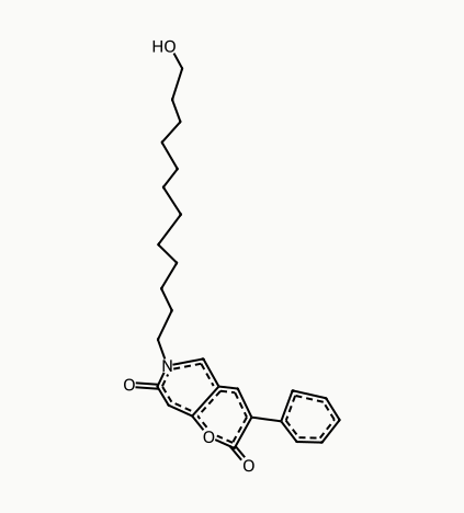 O=c1oc2cc(=O)n(CCCCCCCCCCCCO)cc2cc1-c1ccccc1